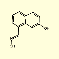 O/N=C/c1cccc2ccc(O)cc12